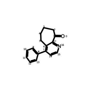 O=C1CCCCc2c(-c3ccccc3)ccnc21